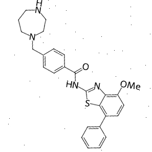 COc1ccc(-c2ccccc2)c2sc(NC(=O)c3ccc(CN4CCCNCC4)cc3)nc12